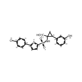 O=C(O)C1(NS(=O)(=O)c2ccc(-c3ccc(Cl)cc3)s2)CC1c1cccc(O)c1